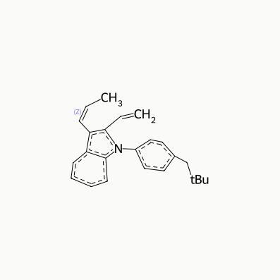 C=Cc1c(/C=C\C)c2ccccc2n1-c1ccc(CC(C)(C)C)cc1